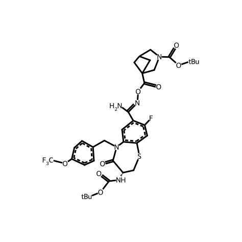 CC(C)(C)OC(=O)N[C@H]1CSc2cc(F)c(/C(N)=N/OC(=O)C34CC(CN(C(=O)OC(C)(C)C)C3)C4)cc2N(Cc2ccc(OC(F)(F)F)cc2)C1=O